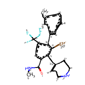 CNC(=O)c1cc(C(F)(F)F)c(-c2cccc(C)c2)c(Br)c1C1CCNCC1